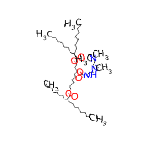 CCCCCCCCC(CCCCCCCC)C(=O)OCCCCC(CCCCOC(=O)C(CCCCCCCC)CCCCCCCC)OC(=O)NCCN(C)CCN(C)C